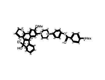 CCCCCCc1ccc(C(=O)Oc2ccc(N3CCN(c4cc5c6c(c7c(c5cc4OC)OCC=C7)C(O)(CC)c4ccccc4-6)CC3)cc2)cc1